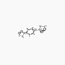 c1cc(C2CCOO2)ccc1C1CCOO1